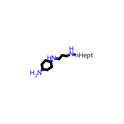 CCCCCCCNCCCNC1CCC(N)CC1